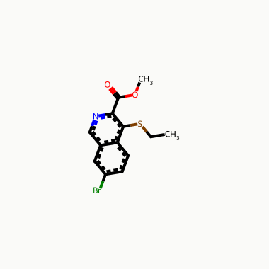 CCSc1c(C(=O)OC)ncc2cc(Br)ccc12